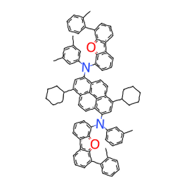 Cc1cccc(N(c2cc(C3CCCCC3)c3ccc4c(N(c5cc(C)cc(C)c5)c5cccc6c5oc5c(-c7ccccc7C)cccc56)cc(C5CCCCC5)c5ccc2c3c54)c2cccc3c2oc2c(-c4ccccc4C)cccc23)c1